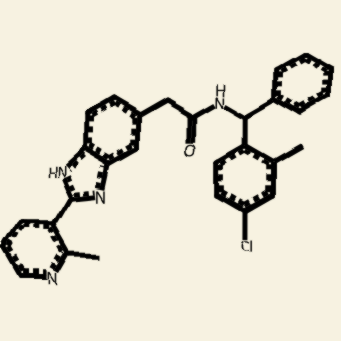 Cc1cc(Cl)ccc1C(NC(=O)Cc1ccc2[nH]c(-c3cccnc3C)nc2c1)c1ccccc1